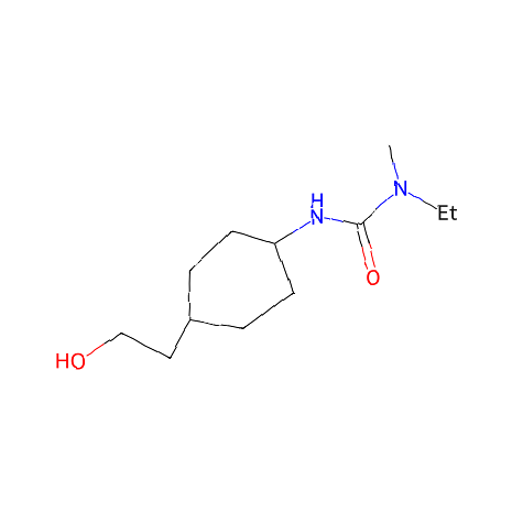 CCN(C)C(=O)NC1CCC(CCO)CC1